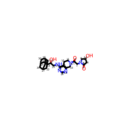 O=C(CN1C[C@@H](O)CC1=O)N1CCc2c(ncnc2NCC(O)C23CC4CC(CC(C4)C2)C3)C1